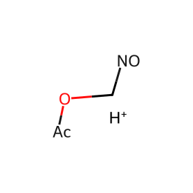 CC(=O)OCN=O.[H+]